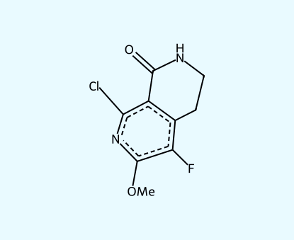 COc1nc(Cl)c2c(c1F)CCNC2=O